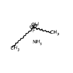 CCCCCCCCCCCCCCCCC(F)(CCCCCCCCCCC)S(=O)(=O)O.N